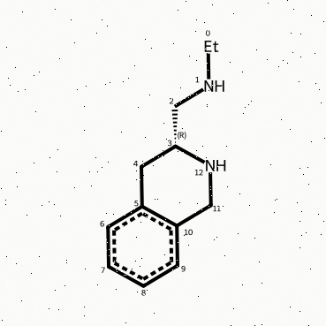 CCNC[C@H]1Cc2ccccc2CN1